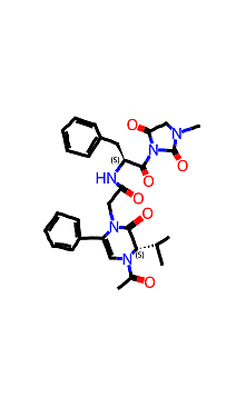 CC(=O)N1C=C(c2ccccc2)N(CC(=O)N[C@@H](Cc2ccccc2)C(=O)N2C(=O)CN(C)C2=O)C(=O)[C@@H]1C(C)C